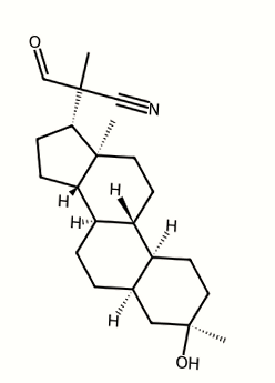 CC(C#N)(C=O)[C@H]1CC[C@H]2[C@@H]3CC[C@@H]4C[C@](C)(O)CC[C@@H]4[C@H]3CC[C@]12C